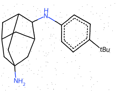 CC(C)(C)c1ccc(NC2C3CC4CC2CC(N)(C4)C3)cc1